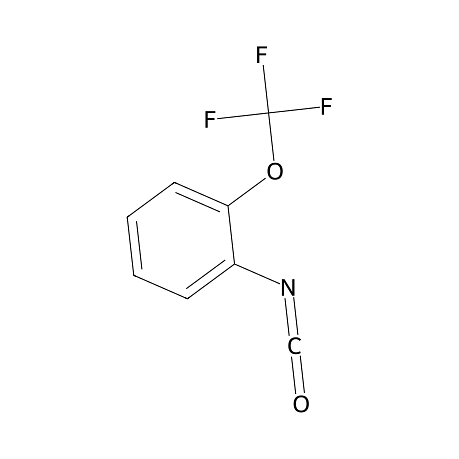 O=C=Nc1ccccc1OC(F)(F)F